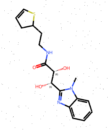 Cn1c([C@H](O)[C@@H](O)C(=O)NCCC2CC=CS2)nc2ccccc21